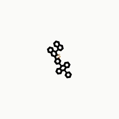 c1ccc(-c2c3ccccc3c(-c3ccc4c(c3)sc3c(-c5cccc6ccccc56)c5ccccc5cc34)c3ccccc23)cc1